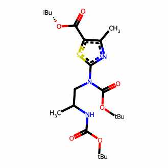 CC[C@@H](C)OC(=O)c1sc(N(CC(C)NC(=O)OC(C)(C)C)C(=O)OC(C)(C)C)nc1C